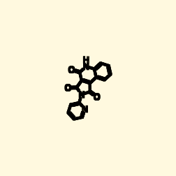 O=C1c2c(c3ccccc3[nH]c2=O)C(=O)N1c1ccccn1